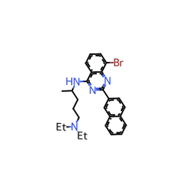 CCN(CC)CCCC(C)Nc1nc(-c2ccc3ccccc3c2)nc2c(Br)cccc12